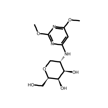 COc1cc(N[C@H]2CO[C@H](CO)[C@H](O)[C@@H]2O)nc(OC)n1